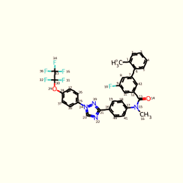 Cc1ccccc1-c1cc(F)cc(C(=O)N(C)c2ccc(-c3ncn(-c4ccc(OC(F)(F)C(F)(F)F)cc4)n3)cc2)c1